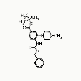 CN1CCN(c2cc(C(=O)OC(C)(C)C)ccc2NC(=O)OCc2ccccc2)CC1